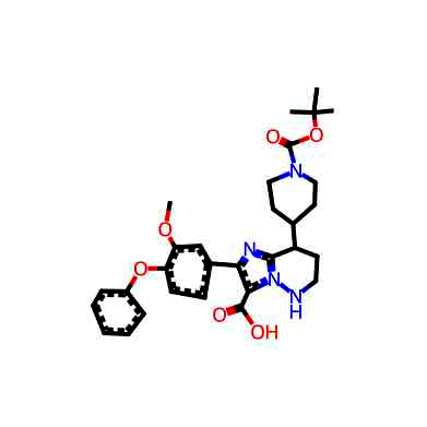 COc1cc(-c2nc3n(c2C(=O)O)NCCC3C2CCN(C(=O)OC(C)(C)C)CC2)ccc1Oc1ccccc1